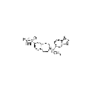 C[C@@H](c1ccc2scnc2c1)N1CCc2ccc(S(C)(=N)=O)cc2CC1